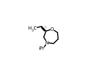 C/C=C1\CN(C(C)C)CCCO1